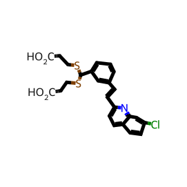 O=C(O)CCSC(SCCC(=O)O)c1cccc(C=Cc2ccc3ccc(Cl)cc3n2)c1